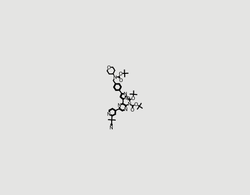 CC(C)(C)OC(=O)N(C(=O)OC(C)(C)C)c1ncc(-c2ccnc(C(C)(C)C#N)c2)nc1-c1cc(-c2ccc(CN(C(=O)OC(C)(C)C)C3CCOCC3)cc2)no1